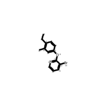 CCc1ccc(Oc2ncccc2Br)cc1C